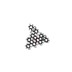 CN1c2ccccc2Oc2cccc(-c3ccc(-c4cccc5c(-c6ccccc6)c6cccc(-c7ccc(-c8cccc9c8N(C)c8ccccc8O9)c8ccccc78)c6cc45)c4ccccc34)c21